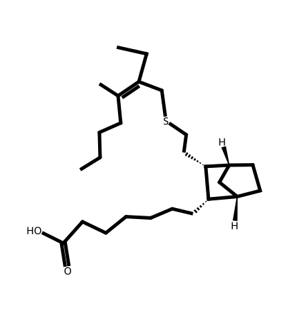 CCCCC(C)=C(CC)CSCC[C@@H]1[C@@H]2CC[C@@H](C2)[C@@H]1CCCCCCC(=O)O